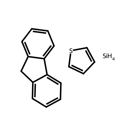 [SiH4].c1ccc2c(c1)Cc1ccccc1-2.c1ccsc1